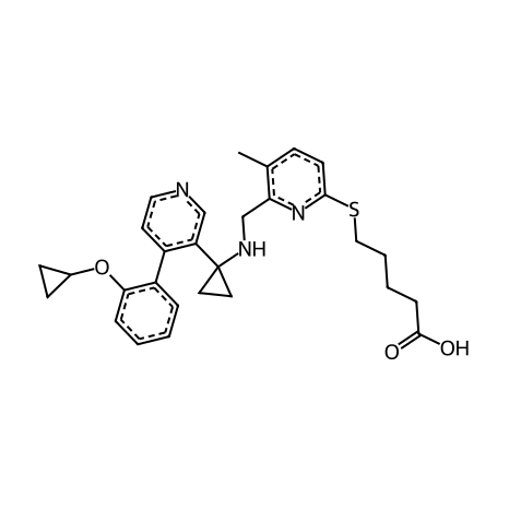 Cc1ccc(SCCCCC(=O)O)nc1CNC1(c2cnccc2-c2ccccc2OC2CC2)CC1